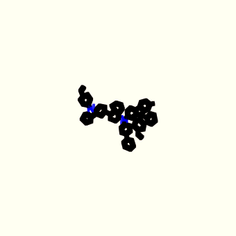 C=Cc1ccc(-n2c3ccccc3c3cc(C4=c5ccccc5=C(N(c5ccc(-c6ccccc6)cc5)c5ccc6c(c5)C(c5ccccc5)(c5ccc(C=C)cc5)c5cc(C)ccc5-6)CC4)ccc32)cc1